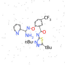 CCCCn1nc(C(C)(C)C)sc1=NC(=O)c1cc(C(F)(F)F)ccc1ON=C(N)c1ccccn1